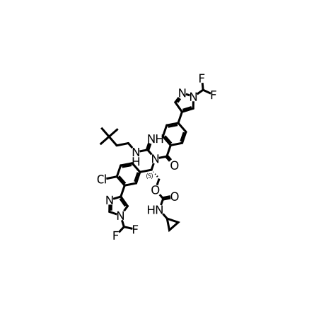 CC(C)(C)CCNC(=N)N(C(=O)c1ccc(-c2cnn(C(F)F)c2)cc1)[C@H](COC(=O)NC1CC1)c1ccc(Cl)c(-c2cn(C(F)F)cn2)c1